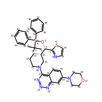 CC(C)(C)[Si](O[C@H](c1nccs1)[C@H]1CCCN(c2nnnc3cc(N4CCOCC4)ccc23)C1)(c1ccccc1)c1ccccc1